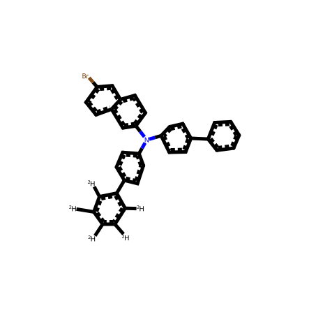 [2H]c1c([2H])c([2H])c(-c2ccc(N(c3ccc(-c4ccccc4)cc3)c3ccc4cc(Br)ccc4c3)cc2)c([2H])c1[2H]